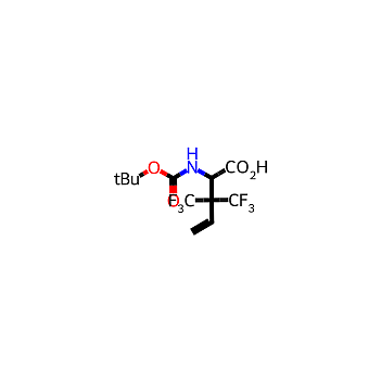 C=CC(C(NC(=O)OC(C)(C)C)C(=O)O)(C(F)(F)F)C(F)(F)F